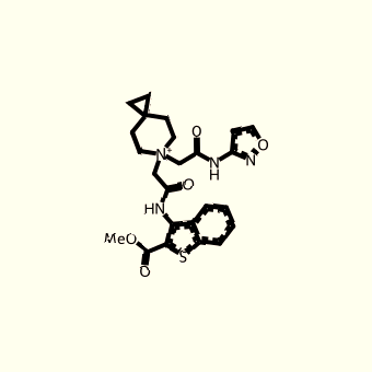 COC(=O)c1sc2ccccc2c1NC(=O)C[N+]1(CC(=O)Nc2ccon2)CCC2(CC2)CC1